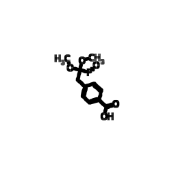 COC(Cc1ccc(C(=O)O)cc1)(OC)P=O